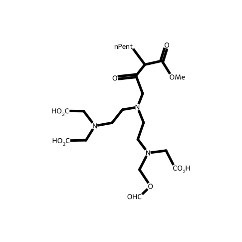 CCCCCC(C(=O)CN(CCN(COC=O)CC(=O)O)CCN(CC(=O)O)CC(=O)O)C(=O)OC